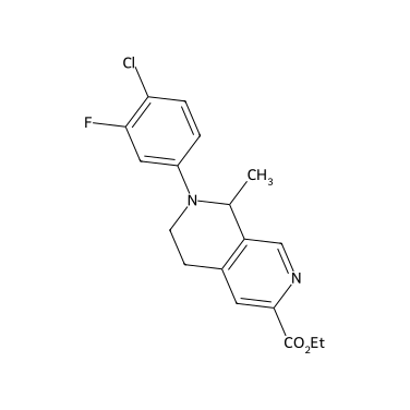 CCOC(=O)c1cc2c(cn1)C(C)N(c1ccc(Cl)c(F)c1)CC2